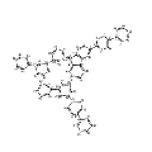 c1ccc(-c2ccc(-c3ccc4c(c3)c3ccc(-c5nc(-c6ccccc6)nc(-c6ccc(-c7ccccc7)cc6)n5)cc3n4-c3cccc(-c4cccc(-c5ccccc5)c4)c3)cc2)cc1